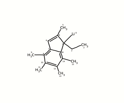 [Li][C]1(CC)C(C)=Cc2c(C)c(C)c(C)c(C)c21